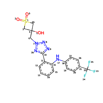 O=S1(=O)CC(O)(Cn2nnc(-c3ccccc3Nc3ccc(C(F)(F)F)cc3)n2)C1